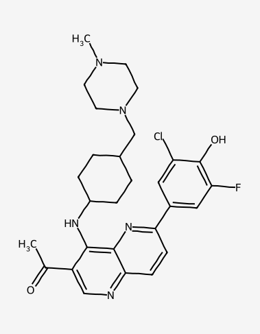 CC(=O)c1cnc2ccc(-c3cc(F)c(O)c(Cl)c3)nc2c1NC1CCC(CN2CCN(C)CC2)CC1